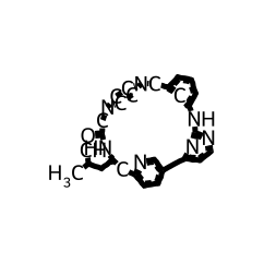 CC(C)CC1Cc2ccc(cn2)-c2ccnc(n2)Nc2cccc(c2)CN2CCN(CC2)CC(=O)N1